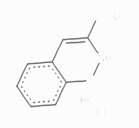 CCOC(=O)C1=Cc2ccccc2ON1.Cl.Cl